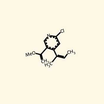 C=C(OC)c1cnc(Cl)cc1/C(C)=C\C